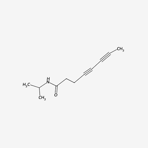 CC#CC#CCCC(=O)NC(C)C